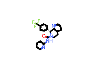 O=C(Nc1ccccn1)N1CCc2cccnc2[C@H]1c1ccc(C(F)(F)F)cc1